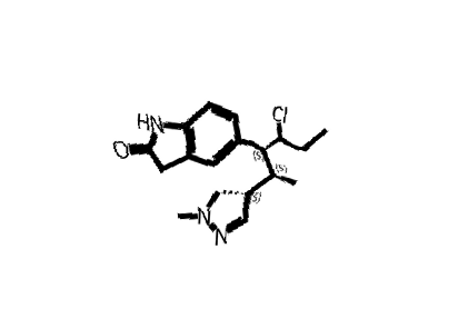 CCC(Cl)[C@H](c1ccc2c(c1)CC(=O)N2)[C@@H](C)[C@@H]1C=NN(C)C1